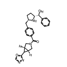 O=C(c1ccc(C[C@H]2CC[C@H](C(O)c3ccccc3)N2)cc1)N1C[C@@H]2C(c3nnco3)[C@@H]2C1